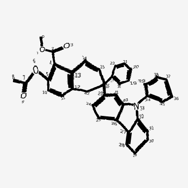 COC(=O)c1c(OC(C)=O)ccc2c1C=CC(c1ccccc1)(c1ccc3c4ccccc4n(-c4ccccc4)c3c1)C2